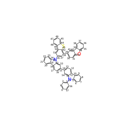 c1ccc(-n2c3ccccc3c3ccc(-c4ccc5c6ccccc6n(-c6cc(-c7ccc8oc9ccccc9c8c7)c7sc8ccccc8c7c6)c5c4)cc32)cc1